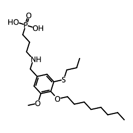 CCCCCCCCOc1c(OC)cc(CNCCCP(=O)(O)O)cc1SCCC